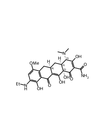 CCNc1cc(OC)c2c(c1O)C(=O)C1=C(O)[C@]3(O)C(=O)C(C(N)=O)=C(O)[C@@H](N(C)C)[C@@H]3C[C@@H]1C2